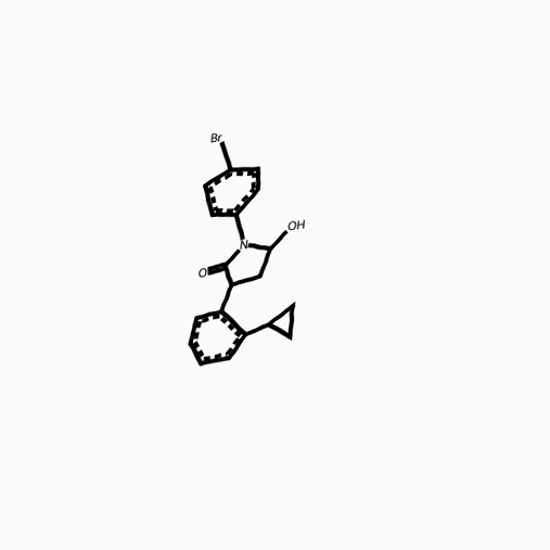 O=C1C(c2ccccc2C2CC2)CC(O)N1c1ccc(Br)cc1